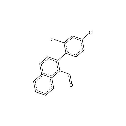 O=Cc1c(-c2ccc(Cl)cc2Cl)ccc2ccccc12